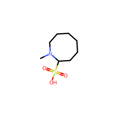 CN1CCCCCCC1S(=O)(=O)O